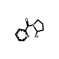 CC(=O)C1CCCN1C(=O)c1ccccn1